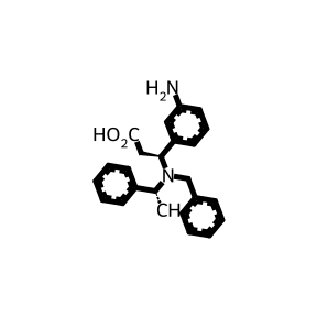 C[C@H](c1ccccc1)N(Cc1ccccc1)[C@@H](CC(=O)O)c1cccc(N)c1